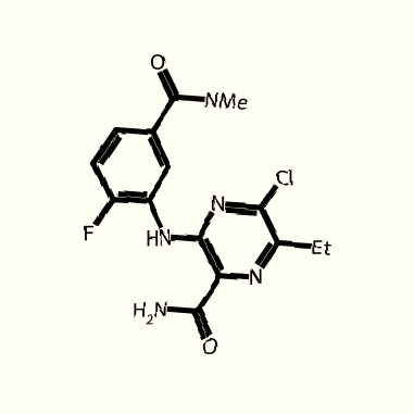 CCc1nc(C(N)=O)c(Nc2cc(C(=O)NC)ccc2F)nc1Cl